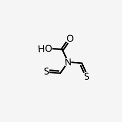 O=C(O)N(C=S)C=S